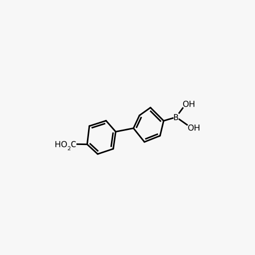 O=C(O)c1ccc(-c2ccc(B(O)O)cc2)cc1